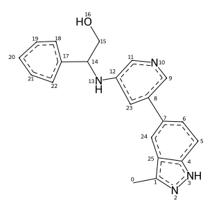 Cc1n[nH]c2ccc(-c3cncc(NC(CO)c4ccccc4)c3)cc12